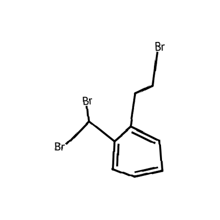 BrCCc1ccccc1C(Br)Br